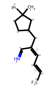 CC(C)C1(C)CCC(C/C(C=N)=C/C=C/C(F)(F)F)C1